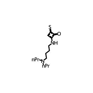 CCCN(CCC)CCCCNc1cc(=S)c1=O